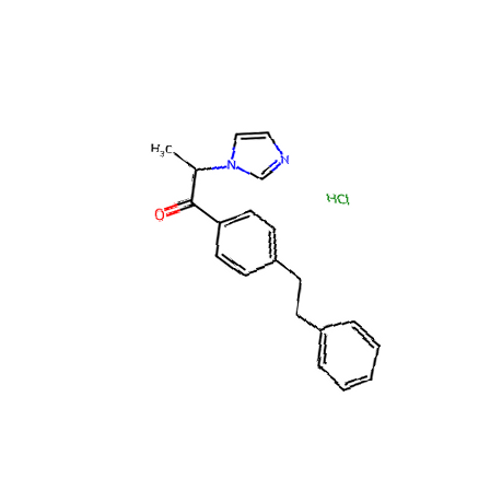 CC(C(=O)c1ccc(CCc2ccccc2)cc1)n1ccnc1.Cl